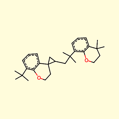 CC(C)(C)c1cccc2c1OCCC21CC1CC(C)(C)c1cccc2c1OCCC2(C)C